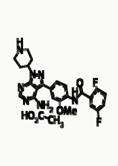 CC(=O)O.COc1cc(-c2nn(C3CCNCC3)c3ncnc(N)c23)ccc1NC(=O)c1cc(F)ccc1F